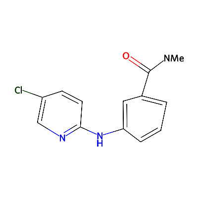 CNC(=O)c1cccc(Nc2ccc(Cl)cn2)c1